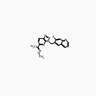 CON=C(C)c1ccc2nnn(Cc3cc4cccnc4cc3F)c2n1